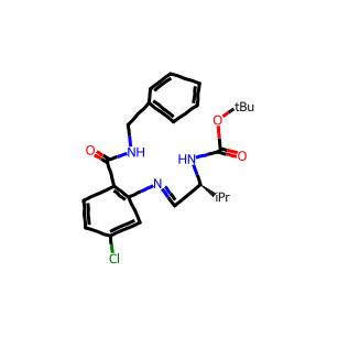 CC(C)[C@@H](C=Nc1cc(Cl)ccc1C(=O)NCc1ccccc1)NC(=O)OC(C)(C)C